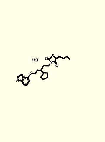 CCCC=C1SC(=O)N(CCC(CCSc2cccc3nccn23)C2CCCC2)C1=O.Cl